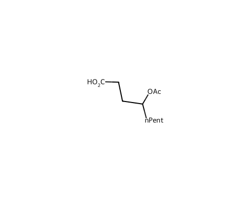 CCCCCC(CCC(=O)O)OC(C)=O